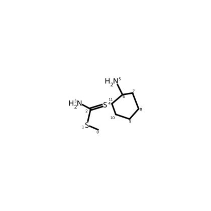 CSC(N)=S.NC1CCCCC1